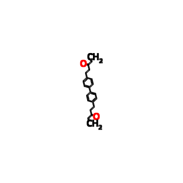 C=CC(=O)CCc1ccc(-c2ccc(CCC(=O)C=C)cc2)cc1